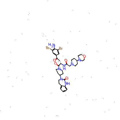 Nc1c(Br)cc(C(=O)C[C@H](NC(=O)CN2CCC(N3CCOCC3)CC2)C(=O)N2CCC(N3CCc4ccccc4NC3=O)CC2)cc1Br